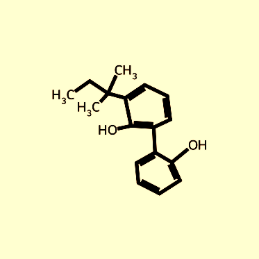 CCC(C)(C)c1cccc(-c2ccccc2O)c1O